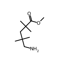 COC(=O)C(C)(C)CC(C)(C)CN